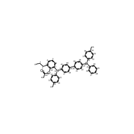 CCCc1cccc(N(c2ccc(C)cc2)c2ccc(-c3ccc(N(c4ccccc4)c4ccc(C)cc4)cc3)cc2)c1OC(C)=O